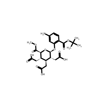 COC(=O)[C@H]1O[C@@H](Oc2cc(N)ccc2C(=O)OC(C)(C)C)[C@H](CC(=O)O)[C@@H](CC(=O)O)[C@@H]1CC(=O)O